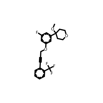 COC1(c2cc(F)cc(OCC#Cc3ccccc3C(F)(F)F)c2)CCOCC1